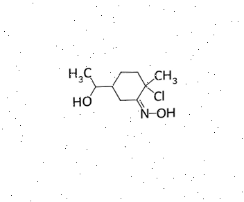 CC(O)C1CCC(C)(Cl)/C(=N\O)C1